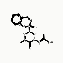 CSC(C)=NOC(=O)N(C)SN(C(C)C)P1(=S)OCc2ccccc2O1